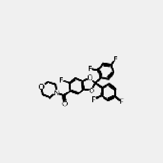 O=C(c1cc2c(cc1F)OC(c1ccc(F)cc1F)(c1ccc(F)cc1F)O2)N1CCOCC1